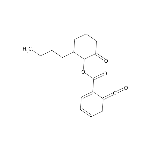 CCCCC1CCCC(=O)C1OC(=O)C1=CC=CCC1=C=O